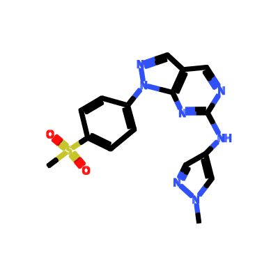 Cn1cc(Nc2ncc3cnn(-c4ccc(S(C)(=O)=O)cc4)c3n2)cn1